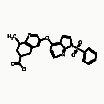 CC1CC(C(=O)Cl)Cc2cc(Oc3ccnc4c3ccn4S(=O)(=O)c3ccccc3)cnc21